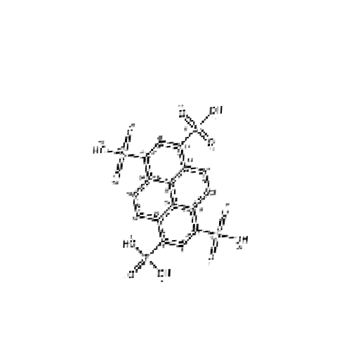 O=P(O)(O)c1cc(S(=O)(=O)O)c2ccc3c(S(=O)(=O)O)cc(S(=O)(=O)O)c4ccc1c2c43